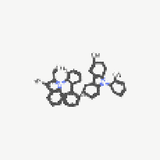 C=Cc1c(CCC)c2ccccc2n1C1=CC=CCC1c1ccccc1[C@@H]1C=Cc2c(c3c(n2C2CC=CC=C2C#N)CCC(C#N)=C3)C1